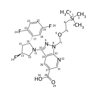 C[Si](C)(C)CCOCn1nc(N2C[C@@H](F)C[C@@H]2c2cc(F)ccc2F)c2cc(C(=O)O)cnc21